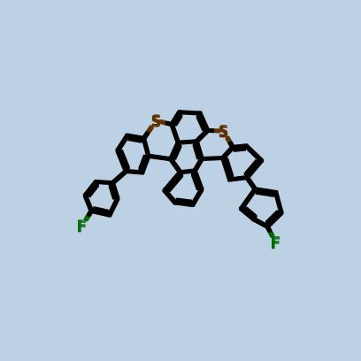 Fc1ccc(-c2ccc3c(c2)-c2c4ccccc4c4c5c(ccc(c25)S3)Sc2ccc(-c3ccc(F)cc3)cc2-4)cc1